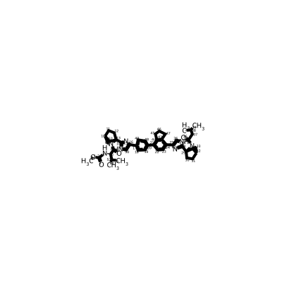 COC(=O)N[C@H](C(=O)N1CC2CCC1(c1nc(-c3ccc(-c4ccc(-c5c[nH]c(C67CCC(CN6C(=O)CC(C)C)C7)n5)c5c4CCC5)cc3)c[nH]1)C2)C(C)C